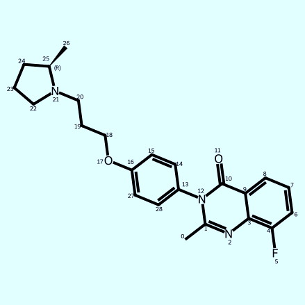 Cc1nc2c(F)cccc2c(=O)n1-c1ccc(OCCCN2CCC[C@H]2C)cc1